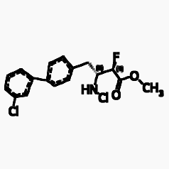 COC(=O)[C@H](F)[C@@H](Cc1ccc(-c2cccc(Cl)c2)cc1)NCl